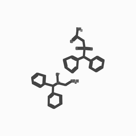 NC(=O)CS(=O)(=O)C(c1ccccc1)c1ccccc1.O=C(O)C[S+]([O-])C(c1ccccc1)c1ccccc1